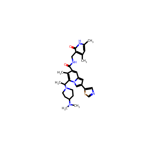 Cc1cc(C)c(CNC(=O)c2cc3cc(-c4cncs4)cn3c(C(C)N3CCC(N(C)C)CC3)c2C)c(=O)[nH]1